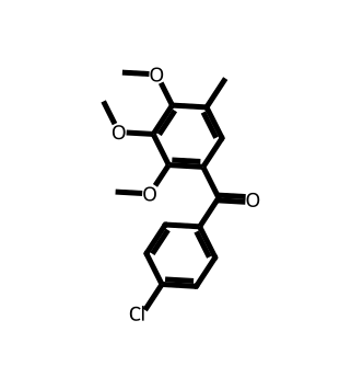 COc1c(C)cc(C(=O)c2ccc(Cl)cc2)c(OC)c1OC